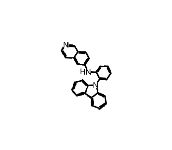 c1ccc(-n2c3ccccc3c3ccccc32)c(Nc2ccc3cnccc3c2)c1